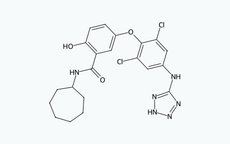 O=C(NC1CCCCCC1)c1cc(Oc2c(Cl)cc(Nc3nn[nH]n3)cc2Cl)ccc1O